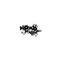 COc1c(F)cc(B(O)O)cc1CCC(=O)Nc1ccc(S(=O)(=O)C2CC2)c(CN(C)C(=O)OCC[Si](C)(C)C)c1